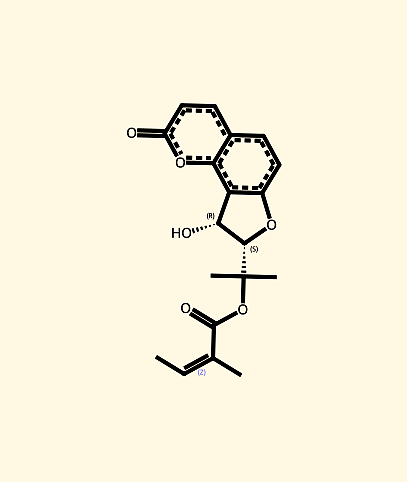 C/C=C(/C)C(=O)OC(C)(C)[C@H]1Oc2ccc3ccc(=O)oc3c2[C@H]1O